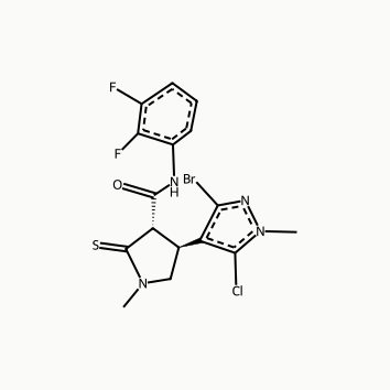 CN1C[C@H](c2c(Br)nn(C)c2Cl)[C@@H](C(=O)Nc2cccc(F)c2F)C1=S